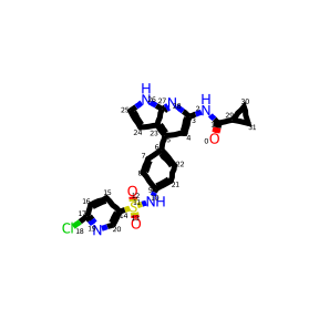 O=C(Nc1cc(-c2ccc(NS(=O)(=O)c3ccc(Cl)nc3)cc2)c2cc[nH]c2n1)C1CC1